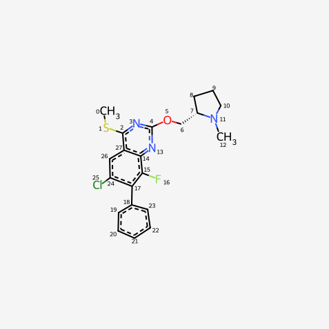 CSc1nc(OC[C@@H]2CCCN2C)nc2c(F)c(-c3ccccc3)c(Cl)cc12